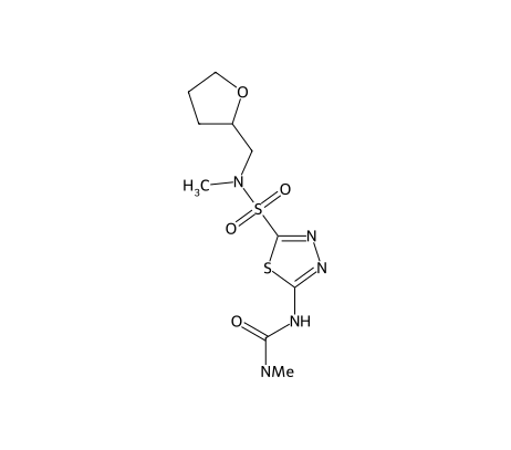 CNC(=O)Nc1nnc(S(=O)(=O)N(C)CC2CCCO2)s1